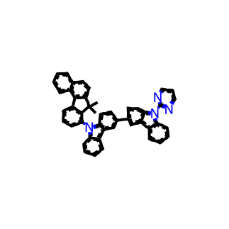 CC1(C)c2ccc3ccccc3c2-c2cccc(-n3c4ccccc4c4cc(-c5ccc6c(c5)c5ccccc5n6-c5ncccn5)ccc43)c21